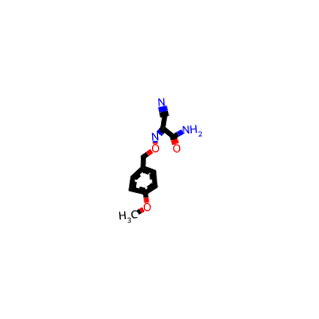 COc1ccc(CON=C(C#N)C(N)=O)cc1